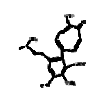 COc1cc(CC[C@@H](C)N)c(-c2ccc(OC)c(=O)cc2)c(OC)c1OC